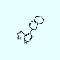 c1nc(-c2ccc3c(c2)CCCC3)c2cc[nH]c2n1